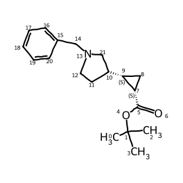 CC(C)(C)OC(=O)[C@H]1C[C@H]1C1CCN(Cc2ccccc2)C1